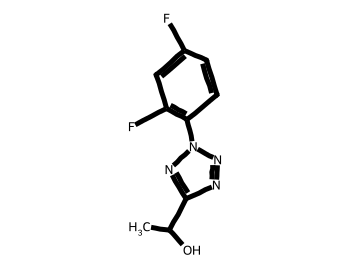 CC(O)c1nnn(-c2ccc(F)cc2F)n1